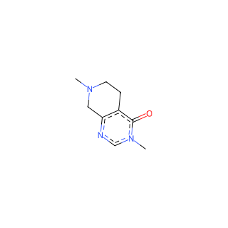 CN1CCc2c(ncn(C)c2=O)C1